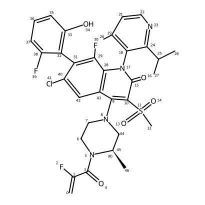 C=C(F)C(=O)N1CCN(c2c(S(C)(=O)=O)c(=O)n(-c3c(C)ccnc3C(C)C)c3c(F)c(-c4c(O)cccc4F)c(Cl)cc23)C[C@H]1C